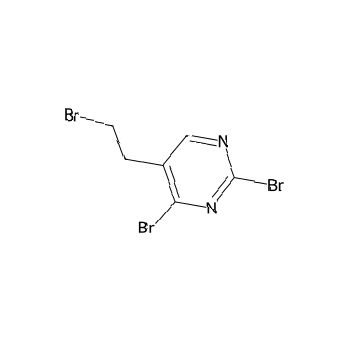 BrCCc1cnc(Br)nc1Br